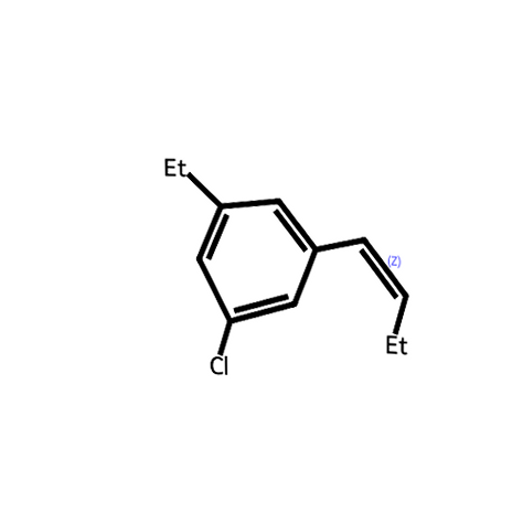 CC/C=C\c1cc(Cl)cc(CC)c1